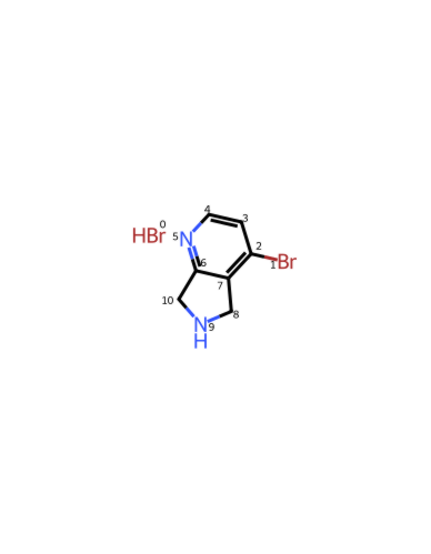 Br.Brc1ccnc2c1CNC2